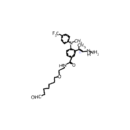 C/C(=C\NN)c1cc(C(=O)NCCOCCCCCCC=O)ccc1N(C)c1ccc(C(F)(F)F)cc1